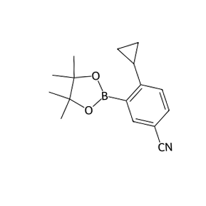 CC1(C)OB(c2cc(C#N)ccc2C2CC2)OC1(C)C